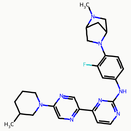 CC1CCCN(c2cnc(-c3ccnc(Nc4ccc(N5CC6CC5CN6C)c(F)c4)n3)cn2)C1